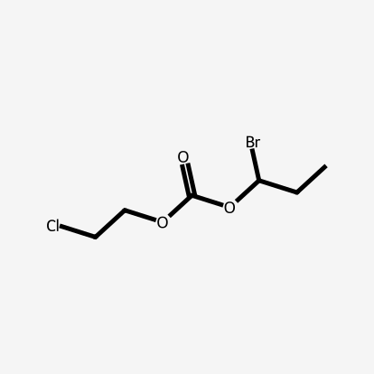 CCC(Br)OC(=O)OCCCl